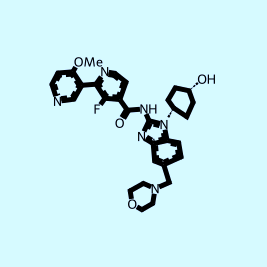 COc1ccncc1-c1nccc(C(=O)Nc2nc3cc(CN4CCOCC4)ccc3n2[C@H]2CC[C@@H](O)CC2)c1F